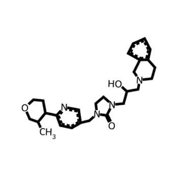 CC1COCCC1c1ccc(CN2CCN(CC(O)CN3CCc4ccccc4C3)C2=O)cn1